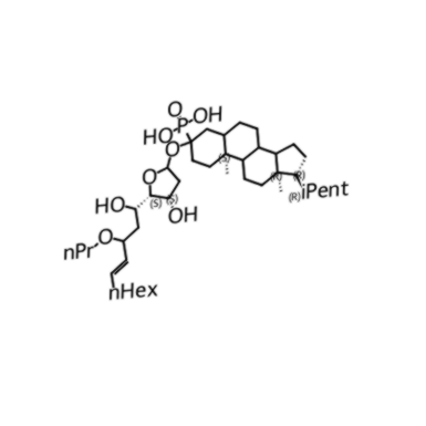 CCCCCCC=CC(CC(O)[C@@H]1OC(OC2(P(=O)(O)O)CC[C@@]3(C)C(CCC4C3CC[C@@]3(C)C4CC[C@@H]3[C@H](C)CCC)C2)C[C@@H]1O)OCCC